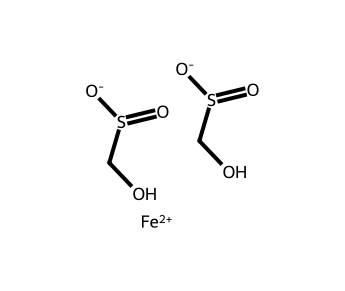 O=S([O-])CO.O=S([O-])CO.[Fe+2]